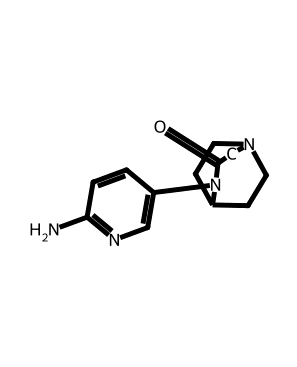 Nc1ccc(N2C(=O)CN3CCC2CC3)cn1